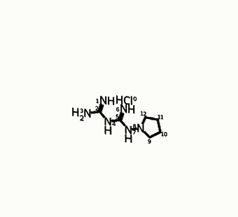 Cl.N=C(N)NC(=N)NN1CCCC1